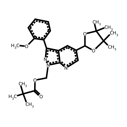 COc1ccccc1-c1nn(COC(=O)C(C)(C)C)c2ncc(C3OC(C)(C)C(C)(C)O3)cc12